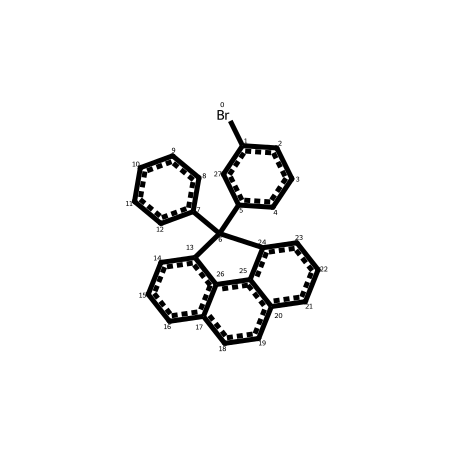 Brc1cccc(C2(c3ccccc3)c3cccc4ccc5cccc2c5c34)c1